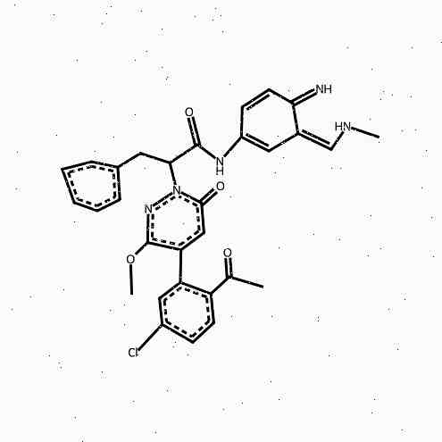 CN/C=C1/C=C(NC(=O)C(Cc2ccccc2)n2nc(OC)c(-c3cc(Cl)ccc3C(C)=O)cc2=O)C=CC1=N